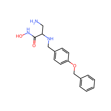 NCC(NCc1ccc(OCc2ccccc2)cc1)C(=O)NO